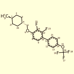 C[C@H]1CC[C@H](COc2ccc(-c3ccc(OC(F)(F)F)cc3)c(F)c2F)CC1